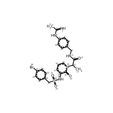 CC(=N)Nc1ccc(CNC(=O)C(C)n2cccc(NS(=O)(=O)Cc3ccc(Br)cc3)c2=O)cc1